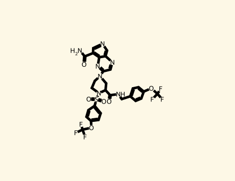 NC(=O)c1cncc2ncc(N3CCN(S(=O)(=O)c4ccc(OC(F)(F)F)cc4)C(C(=O)NCc4ccc(OC(F)(F)F)cc4)C3)nc12